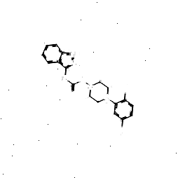 O=C(Nc1n[nH]c2ccccc12)ON1CCN(c2cc(C(F)(F)F)ccc2Cl)CC1